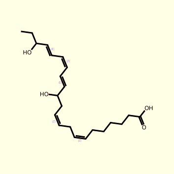 CCC(O)/C=C/C=C\C=C\C(O)C/C=C\C/C=C\CCCCCC(=O)O